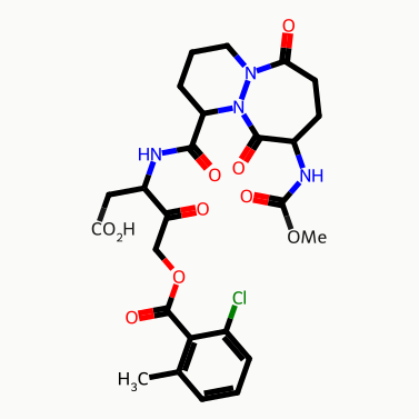 COC(=O)NC1CCC(=O)N2CCCC(C(=O)NC(CC(=O)O)C(=O)COC(=O)c3c(C)cccc3Cl)N2C1=O